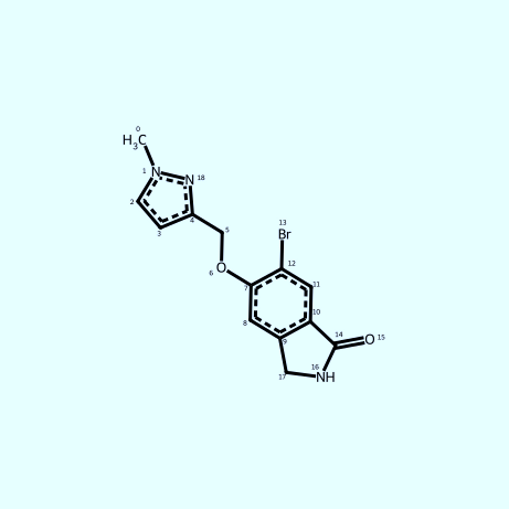 Cn1ccc(COc2cc3c(cc2Br)C(=O)NC3)n1